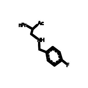 CCCC(CNCc1ccc(F)cc1)C(C)=O